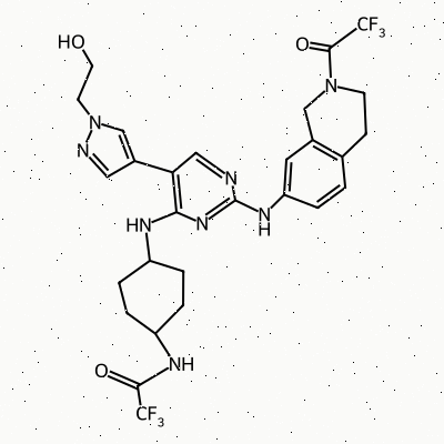 O=C(NC1CCC(Nc2nc(Nc3ccc4c(c3)CN(C(=O)C(F)(F)F)CC4)ncc2-c2cnn(CCO)c2)CC1)C(F)(F)F